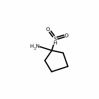 NC1([SH](=O)=O)CCCC1